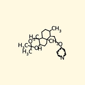 CC1CCC2[C@]3(C)COC(C)(C)O[C@@H]3CC[C@@]2(C)[C@@H]1CCOc1ccncc1